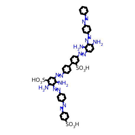 Nc1ccc(N=Nc2ccc(-c3ccc(N=Nc4cc(S(=O)(=O)O)c(N)c(N=Nc5ccc(N=Nc6ccc(S(=O)(=O)O)cc6)cc5)c4N)cc3)c(S(=O)(=O)O)c2)c(N)c1N=Nc1ccc(N=Nc2ccccc2)cc1